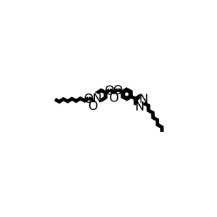 CCCCCCCCOC(=O)N1CCC(OC(=O)Oc2ccc(-c3cnc(CCCCCCCC)nc3)cc2)CC1